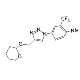 CNc1ccc(-n2cc(COC3CCCCO3)nn2)cc1C(F)(F)F